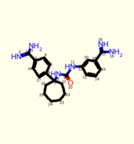 N=C(N)c1ccc(C2(NC(=O)Nc3cccc(C(=N)N)c3)CCCCCC2)cc1